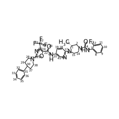 C[C@@H]1CN(C(=O)Nc2ccccc2F)CCN1c1ccc(NC(=O)c2oc(N3CCC(c4ccccc4)CC3)nc2C(F)(F)F)cn1